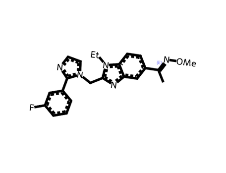 CCn1c(Cn2ccnc2-c2cccc(F)c2)nc2cc(/C(C)=N/OC)ccc21